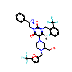 Cc1c(N2CCN(Cc3ccc(C(F)(F)F)o3)C(CO)C2)c(=O)n(C[C@@H](N)c2ccccc2)c(=O)n1Cc1c(F)cccc1C(F)(F)F